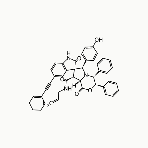 C=CCNC(=O)[C@@H]1[C@H]2C(=O)O[C@H](c3ccccc3)[C@H](c3ccccc3)N2[C@H](c2ccc(O)cc2)[C@@]12C(=O)Nc1ccc(C#CC3=CCCCC3)cc12